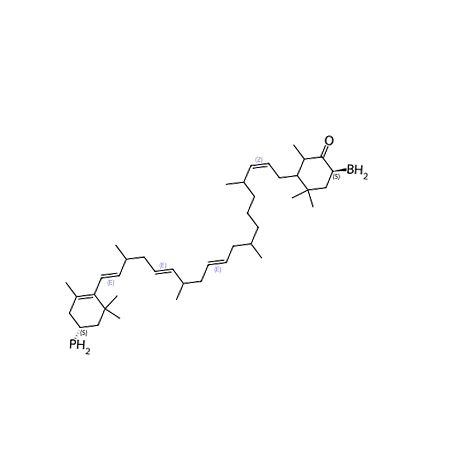 B[C@H]1CC(C)(C)C(C/C=C\C(C)CCCC(C)C/C=C/CC(C)/C=C/CC(C)/C=C/C2=C(C)C[C@@H](P)CC2(C)C)C(C)C1=O